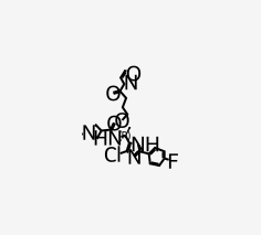 CN1CC(C(=O)N[C@@H](COCCCC(=O)c2ccon2)c2[nH]c(-c3ccc(F)cc3)nc2Cl)C1